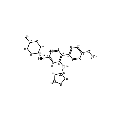 CC(C)Oc1ccc(-c2cnc(N[C@H]3CC[C@H](C)CC3)nc2O[C@@H]2CCOC2)cc1